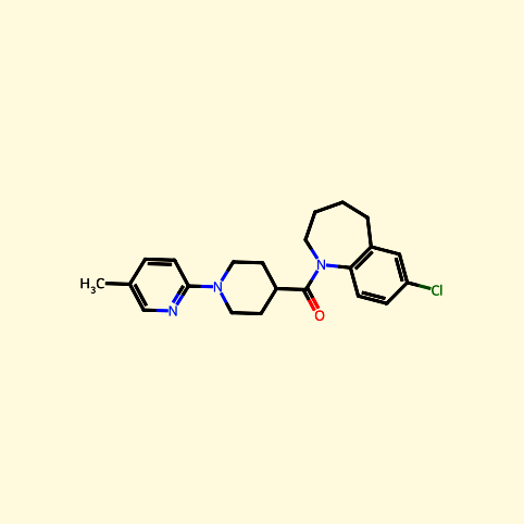 Cc1ccc(N2CCC(C(=O)N3CCCCc4cc(Cl)ccc43)CC2)nc1